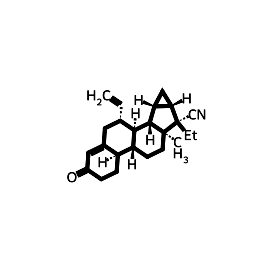 C=C[C@H]1CC2=CC(=O)CC[C@@H]2[C@H]2CC[C@@]3(C)[C@@H]([C@@H]4C[C@@H]4[C@@]3(C#N)CC)[C@@H]21